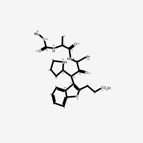 CCOC(=O)CCc1oc2ccccc2c1C(C(=O)C(NC(=O)C(C)NC(=O)OC(C)(C)C)C(C)C)C1CCCN1